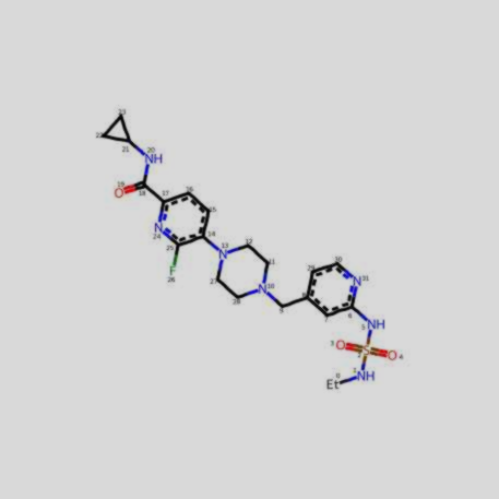 CCNS(=O)(=O)Nc1cc(CN2CCN(c3ccc(C(=O)NC4CC4)nc3F)CC2)ccn1